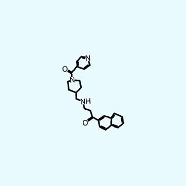 O=C(CCNCC1CCN(C(=O)c2ccncc2)CC1)c1ccc2ccccc2c1